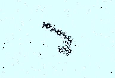 CC(C)C(NC(=O)COC(CN1C(=O)C=CC1=O)CN1C(=O)C=CC1=O)C(=O)NCC(=O)Nc1ccc(COC(=O)Oc2ccc([N+](=O)[O-])cc2)cc1